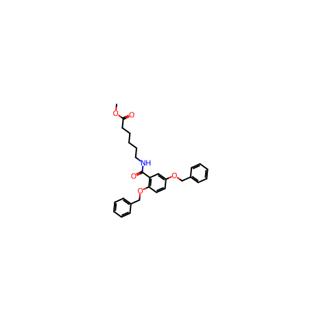 COC(=O)CCCCCNC(=O)c1cc(OCc2ccccc2)ccc1OCc1ccccc1